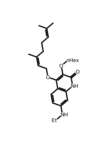 CCCCCCOc1c(OCC=C(C)CCC=C(C)C)c2ccc(NCC)cc2[nH]c1=O